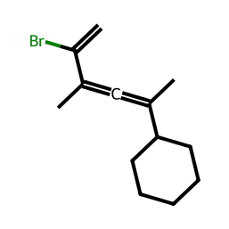 C=C(Br)C(C)=C=C(C)C1CCCCC1